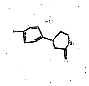 Cl.O=C1CN(c2ccc(F)cc2)CCN1